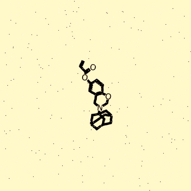 C=CC(=O)Oc1ccc2c(c1)CN(C13CC4CC(CC(C4)C1)C3)CO2